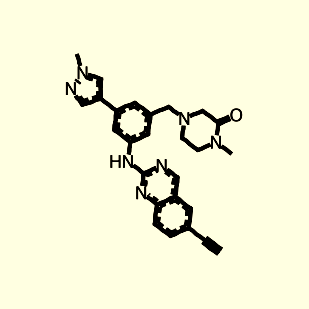 C#Cc1ccc2nc(Nc3cc(CN4CCN(C)C(=O)C4)cc(-c4cnn(C)c4)c3)ncc2c1